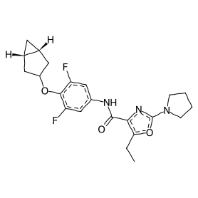 CCc1oc(N2CCCC2)nc1C(=O)Nc1cc(F)c(OC2C[C@@H]3C[C@@H]3C2)c(F)c1